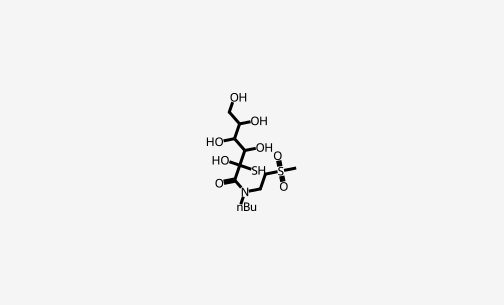 CCCCN(CCS(C)(=O)=O)C(=O)C(O)(S)C(O)C(O)C(O)CO